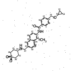 Cc1c(NC(=O)c2ccc(COC3CC3)cc2)ccc2cc(CNC3CCS(=O)(=O)CC3)cnc12